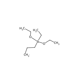 [CH2]CC[Si](CC)(OCC)OCC